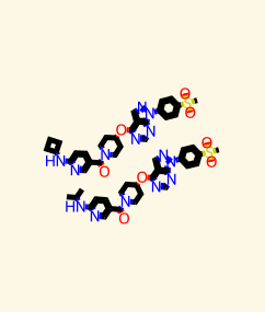 CC(C)Nc1ccc(C(=O)N2CCC(Oc3ncnc4c3cnn4-c3ccc(S(C)(=O)=O)cc3)CC2)cn1.CS(=O)(=O)c1ccc(-n2ncc3c(OC4CCN(C(=O)c5ccc(NC6CCC6)nc5)CC4)ncnc32)cc1